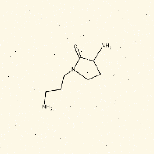 NCCCN1CCC(N)C1=O